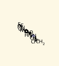 C=C(Cl)CO/N=C\C(C)NC(=O)c1ccc(-c2noc(C(F)(F)F)n2)cc1